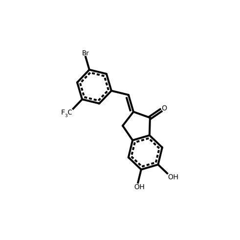 O=C1C(=Cc2cc(Br)cc(C(F)(F)F)c2)Cc2cc(O)c(O)cc21